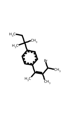 CCC(C)(C)c1ccc(C(C)=C(C)C(C)Br)cc1